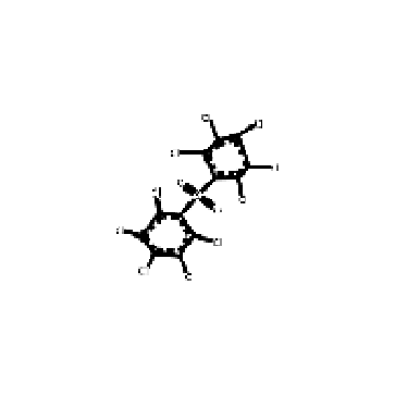 O=S(=O)(c1c(Cl)c(Cl)c(Cl)c(Cl)c1Cl)c1c(Cl)c(Cl)c(Cl)c(Cl)c1Cl